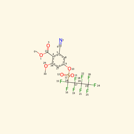 COC(=O)c1c(C#N)cc(OS(=O)(=O)C(F)(F)C(F)(F)C(F)(F)C(F)(F)F)cc1OC